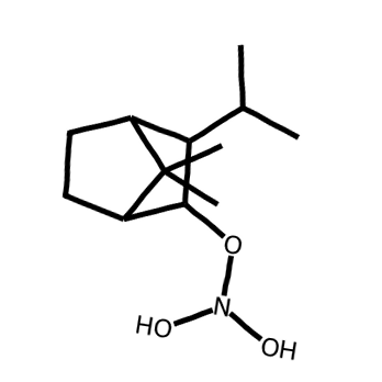 CC(C)C1C(ON(O)O)C2CCC1C2(C)C